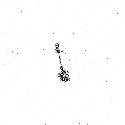 COc1cc(OCCOCCCCCCCCCCCCNC(=O)CC2(C)CC3CC(C)CC(C3)C2)ccc1Nc1ncc2c(C)cc(=O)n(-c3cccc(NC(=O)C4CC4)c3)c2n1